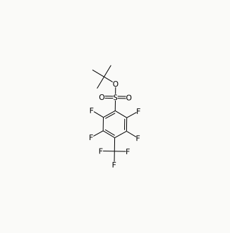 CC(C)(C)OS(=O)(=O)c1c(F)c(F)c(C(F)(F)F)c(F)c1F